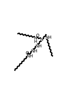 C=C(CCN(CCCCNCCCNCCC(=O)NCCCCCCCCCCCC)CCC(=O)NCCCCCCCCCCCC)NCCCCCCCCCCCC